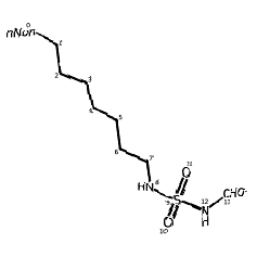 CCCCCCCCCCCCCCCCNS(=O)(=O)N[C]=O